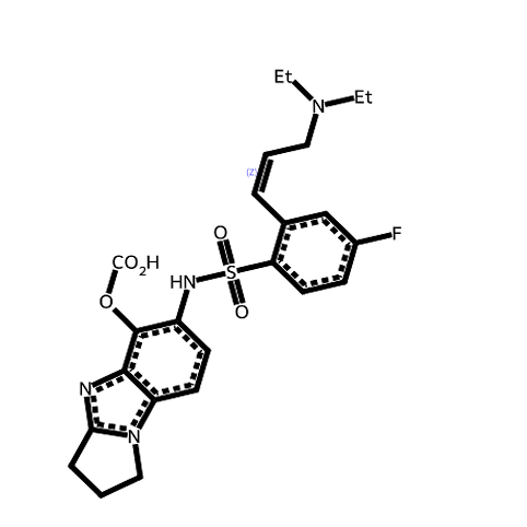 CCN(CC)C/C=C\c1cc(F)ccc1S(=O)(=O)Nc1ccc2c(nc3n2CCC3)c1OC(=O)O